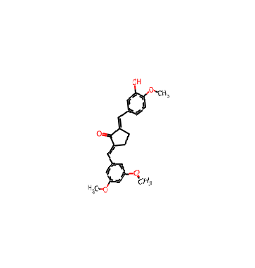 COc1cc(/C=C2\CC/C(=C\c3ccc(OC)c(O)c3)C2=O)cc(OC)c1